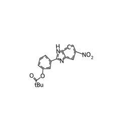 CC(C)(C)C(=O)Oc1cccc(-c2nc3cc([N+](=O)[O-])ccc3[nH]2)c1